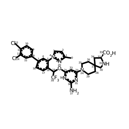 Cc1ccn(-c2cc(-c3ccc(Cl)c(Cl)c3)ccc2C(Oc2cc(N3CCC4(CC3)CN[C@H](C(=O)O)C4)nc(N)n2)C(F)(F)F)n1